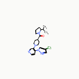 CC(C)C1CCCN1C(=O)C1CCN(c2cnccc2-n2cc(Cl)cn2)CC1